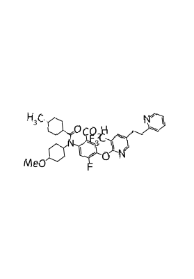 COC1CCC(N(c2cc(F)c(Oc3ncc(CCc4ccccn4)cc3C(F)(F)F)cc2C(=O)O)C(=O)[C@H]2CC[C@H](C)CC2)CC1